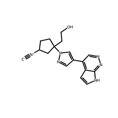 [C-]#[N+]C1CCC(CCO)(n2cc(-c3cnnc4[nH]ccc34)cn2)C1